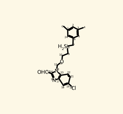 Cc1cc(C)cc(C[SiH2]CCOCn2c(C=O)nc3cc(Cl)ccc32)c1